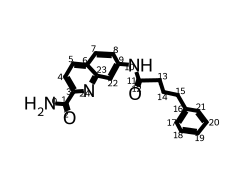 NC(=O)c1ccc2ccc(NC(=O)[CH]CCc3ccccc3)cc2n1